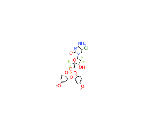 COc1ccc(OP(=O)(OC[C@@]2(C(F)F)O[C@@H](n3cc(Cl)c(N)nc3=O)C(F)(F)C2O)Oc2ccc(OC)cc2)cc1